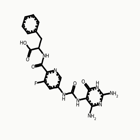 Nc1nc(N)c(NC(=O)Nc2cnc(C(=O)NC(Cc3ccccc3)C(=O)O)c(F)c2)c(=O)[nH]1